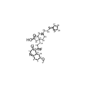 COc1ccc2ncc(Cl)c([C@H](F)CCC3(CC(=O)O)CCN(CCSc4cccs4)CC3)c2c1